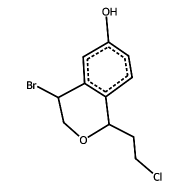 Oc1ccc2c(c1)C(Br)COC2CCCl